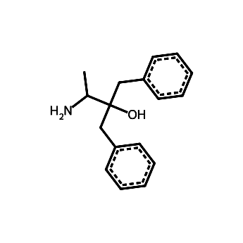 CC(N)C(O)(Cc1ccccc1)Cc1ccccc1